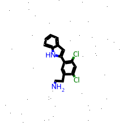 NCCc1cc(-c2cc3ccccc3[nH]2)c(Cl)cc1Cl